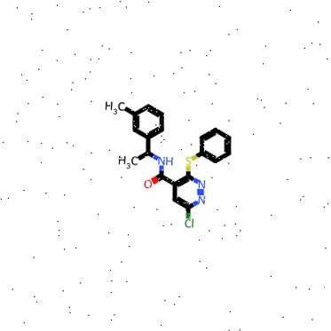 Cc1cccc(C(C)NC(=O)c2cc(Cl)nnc2Sc2ccccc2)c1